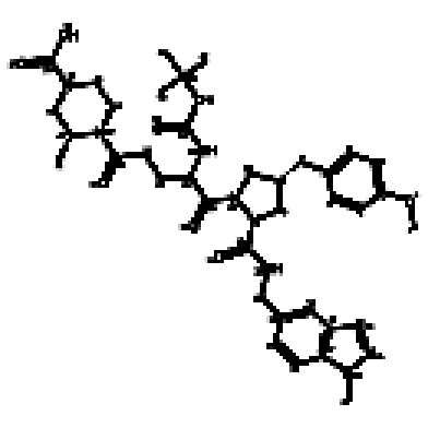 COc1ccc(C[C@@H]2C[C@@H](C(=O)NCc3ccc4c(c3)nnn4C)N(C(=O)C(CCC(=O)N3CCN(C(=O)O)C[C@@H]3C)NC(=O)OC(C)(C)C)C2)cc1